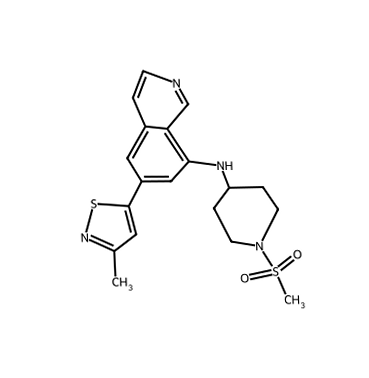 Cc1cc(-c2cc(NC3CCN(S(C)(=O)=O)CC3)c3cnccc3c2)sn1